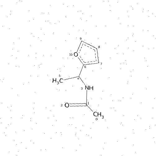 CC(=O)NC(C)c1ccco1